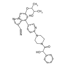 CC(O)C(C)Oc1cc(-c2ccc(N3CCN(C(=O)C(O)c4ccccc4)CC3)nc2)c2c(C#N)cnn2c1